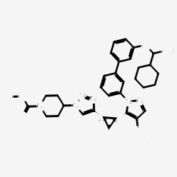 CC(Oc1cccc(-c2cccc(-n3ncc(C(=O)O)c3[C@@H]3C[C@H]3c3cn(C4CCN(C(=O)OC(C)(C)C)CC4)nn3)c2)c1)C1CCCCC1